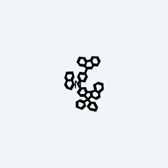 c1ccc(C2(c3ccccc3)c3ccc(N(c4ccc(-c5cc6ccccc6c6ccccc56)cc4)c4cccc5ccccc45)cc3-c3c2ccc2ccccc32)cc1